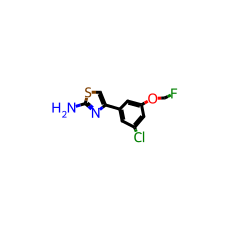 Nc1nc(-c2cc(Cl)cc(OCF)c2)cs1